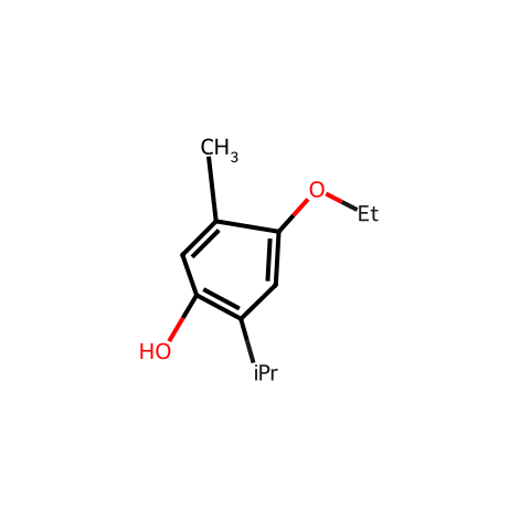 CCOc1cc(C(C)C)c(O)cc1C